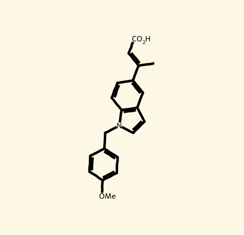 COc1ccc(Cn2ccc3cc(/C(C)=C/C(=O)O)ccc32)cc1